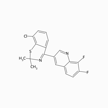 CC1(C)N=C(c2cnc3c(F)c(F)ccc3c2)c2cccc(Cl)c2S1